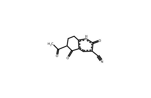 CC(=O)C1CCc2[nH]c(=O)c(C#N)cc2C1=O